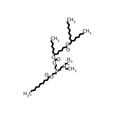 CCCCCCCCCC(=O)OCCN(CCOC(=O)OC(CCCCCC)CCCCC(=O)OCC(CCCCCC)CCCCCCCC)CCN(CC)CC